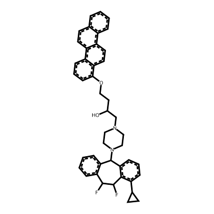 OC(CCOc1cccc2c1ccc1c3ccccc3ccc21)CN1CCN(C2c3ccccc3C(F)C(F)c3c(C4CC4)cccc32)CC1